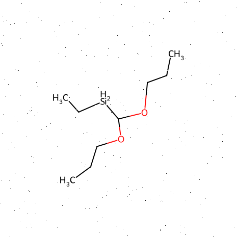 CCCOC(OCCC)[SiH2]CC